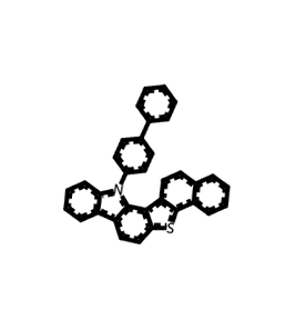 c1ccc(-c2ccc(-n3c4ccccc4c4ccc5sc6c7ccccc7ccc6c5c43)cc2)cc1